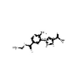 CCOC(=O)c1cnc(C)c(-n2cc(C(=O)O)nn2)c1